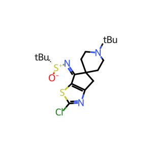 CC(C)(C)N1CCC2(CC1)Cc1nc(Cl)sc1C2=N[S@+]([O-])C(C)(C)C